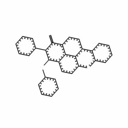 O=c1c(-c2ccccc2)c(Oc2ccccc2)c2ccc3sc4ccccc4c4ccc1c2c34